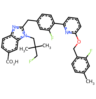 Cc1ccc(COc2cccc(-c3ccc(Cc4nc5ccc(C(=O)O)cc5n4CC(C)(C)CF)cc3F)n2)c(F)c1